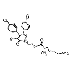 CC(=O)c1c(-c2ccc(Cl)cc2)c(-c2ccc(Cl)cc2)nn(CCOC(=O)[C@@H](N)CCCCN)c1=O